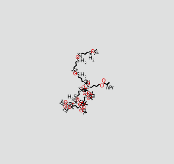 C=C(CCC)C(=O)OCCCC[SiH](CO[Si](C)(C)CC[SiH2]O[Si](C)(C)CC[Si](O[Si](C)(C)C)(O[Si](C)(C)C)O[Si](C)(C)CC[Si](O[Si](C)(C)C)(O[Si](C)(C)C)O[Si](C)(C)CC[Si](O[Si](C)(C)C)(O[Si](C)(C)C)O[Si](C)(C)C)O[Si](C)(C)CCC[SiH2]O[Si](C)(C)CCC[SiH2]O[Si](C)(C)CCC[SiH2]O[Si](C)(C)C